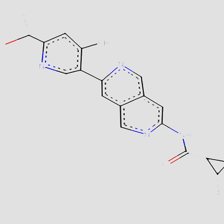 CC[C@@H](O)c1cc(C)c(-c2cc3cnc(NC(=O)[C@@H]4C[C@@H]4F)cc3cn2)cn1